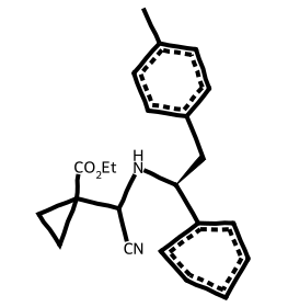 CCOC(=O)C1(C(C#N)N[C@@H](Cc2ccc(C)cc2)c2ccccc2)CC1